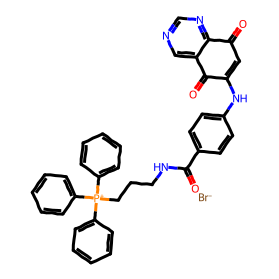 O=C(NCCC[P+](c1ccccc1)(c1ccccc1)c1ccccc1)c1ccc(NC2=CC(=O)c3ncncc3C2=O)cc1.[Br-]